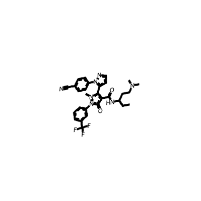 CCC(CCN(C)C)NC(=O)c1c(-c2ccnn2-c2ccc(C#N)cc2)n(C)n(-c2cccc(C(F)(F)F)c2)c1=O